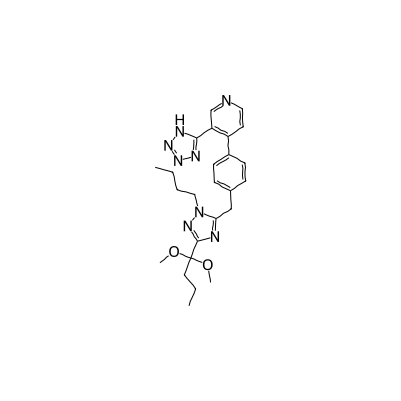 CCCCn1nc(C(CCC)(OC)OC)nc1Cc1ccc(-c2ccncc2-c2nnn[nH]2)cc1